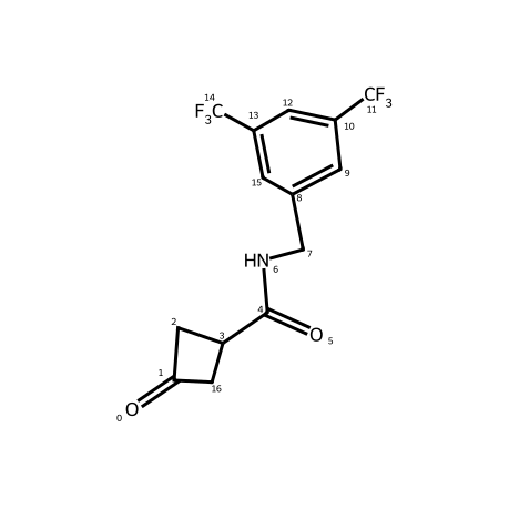 O=C1CC(C(=O)NCc2cc(C(F)(F)F)cc(C(F)(F)F)c2)C1